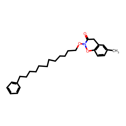 Cc1ccc2c(c1)CC(=O)N(OCCCCCCCCCCCCc1ccccc1)O2